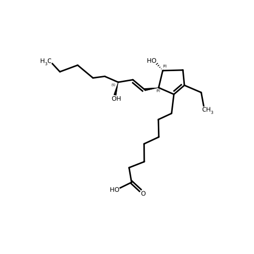 CCCCC[C@H](O)C=C[C@@H]1C(CCCCCCC(=O)O)=C(CC)C[C@H]1O